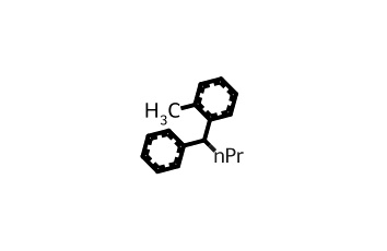 CCCC(c1ccccc1)c1ccccc1C